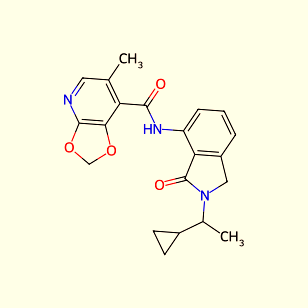 Cc1cnc2c(c1C(=O)Nc1cccc3c1C(=O)N(C(C)C1CC1)C3)OCO2